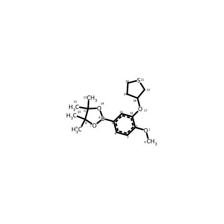 COc1ccc(B2OC(C)(C)C(C)(C)O2)cc1OC1CCSC1